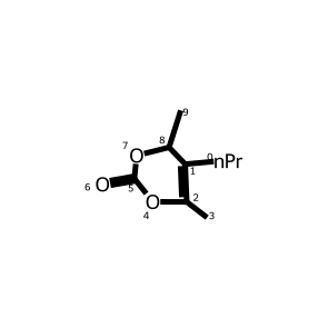 CCCC1=C(C)OC(=O)OC1C